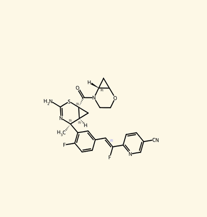 C[C@]1(c2cc(/C=C(\F)c3ccc(C#N)cn3)ccc2F)N=C(N)S[C@@]2(C(=O)N3CCOC4C[C@H]43)C[C@H]21